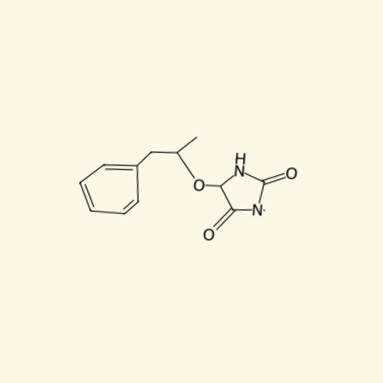 CC(Cc1ccccc1)OC1NC(=O)[N]C1=O